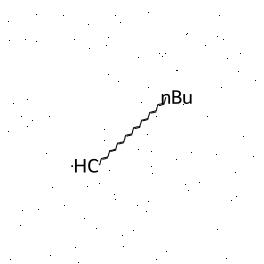 [CH]=CC=CC=CC=CC=CC=CC=CC=CC=CCCCC